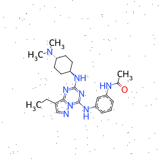 CCc1cnn2c(Nc3cccc(NC(C)=O)c3)nc(N[C@H]3CC[C@H](N(C)C)CC3)nc12